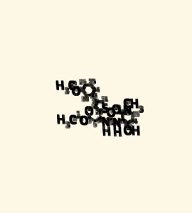 CCOC(=O)C[C@H](NC(=O)Nc1c(O)ccn(C)c1=O)c1cc(-c2cccc(OC)c2)cs1